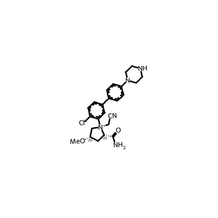 CO[C@H]1C[C@@H](C(N)=O)[N+](CC#N)(c2cc(-c3ccc(N4CCNCC4)cc3)ccc2Cl)C1